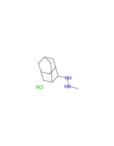 CNNC1C2CC3CC(C2)CC1C3.Cl